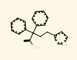 NC(=O)C(CCc1cc[nH]n1)(c1ccccc1)c1ccccc1